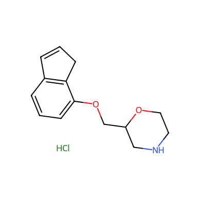 C1=Cc2cccc(OCC3CNCCO3)c2C1.Cl